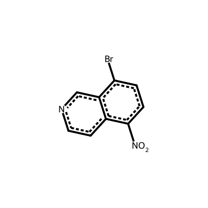 O=[N+]([O-])c1ccc(Br)c2cnccc12